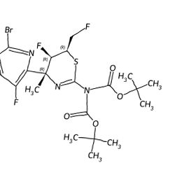 CC(C)(C)OC(=O)N(C(=O)OC(C)(C)C)C1=N[C@](C)(c2nc(Br)ccc2F)[C@@H](F)[C@@H](CF)S1